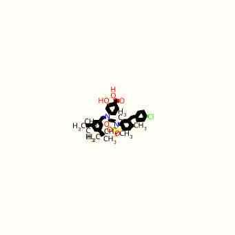 Cc1cc(C)c(N(CC(=O)N(Cc2cc(C(C)(C)C)cc(C(C)(C)C)c2)c2ccc(C(=O)O)c(O)c2)[SH](=O)=O)c(C)c1Cc1ccc(Cl)cc1